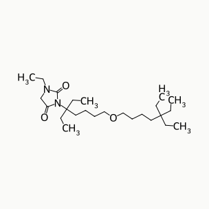 CCN1CC(=O)N(C(CC)(CC)CCCCOCCCCC(CC)(CC)CC)C1=O